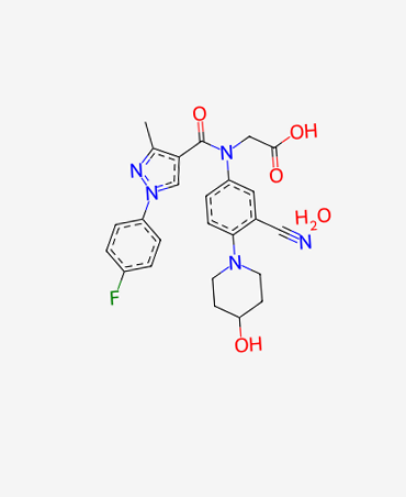 Cc1nn(-c2ccc(F)cc2)cc1C(=O)N(CC(=O)O)c1ccc(N2CCC(O)CC2)c(C#N)c1.O